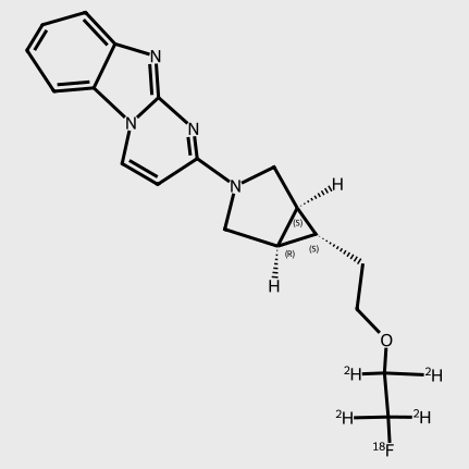 [2H]C([2H])([18F])C([2H])([2H])OCC[C@@H]1[C@H]2CN(c3ccn4c(n3)nc3ccccc34)C[C@@H]12